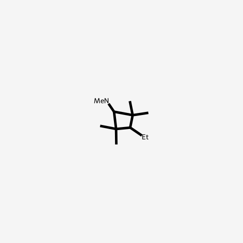 CCC1C(C)(C)C(NC)C1(C)C